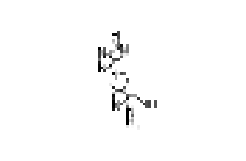 N=Cc1c(N)ncc2c1CCN(c1ncnc3[nH]ncc13)C2